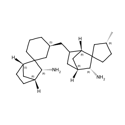 C[C@@H]1CCC2(C1)[C@@H]1C[C@@H](CC1C[C@@H]1CCCC3(C1)[C@H]1CC[C@H](C1)[C@H]3N)[C@H]2N